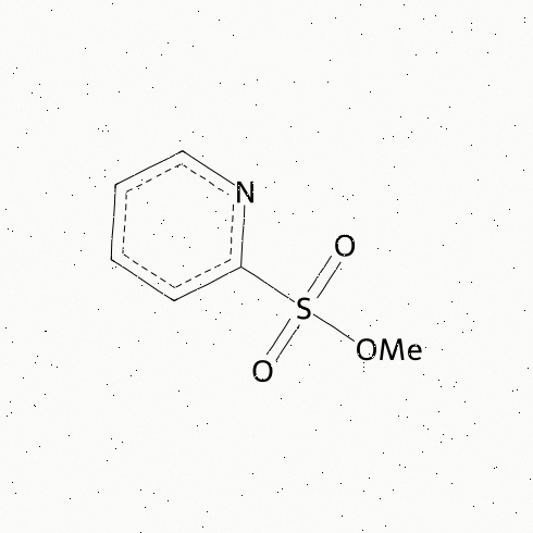 COS(=O)(=O)c1ccccn1